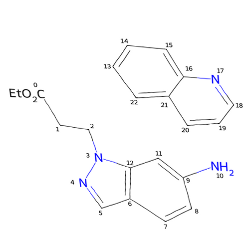 CCOC(=O)CCn1ncc2ccc(N)cc21.c1ccc2ncccc2c1